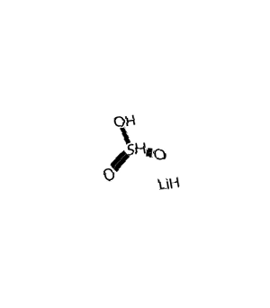 O=[SH](=O)O.[LiH]